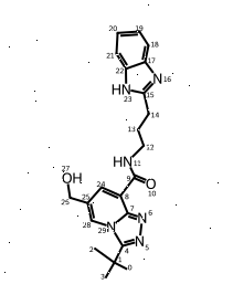 CC(C)(C)c1nnc2c(C(=O)NCCCc3nc4ccccc4[nH]3)cc(CO)cn12